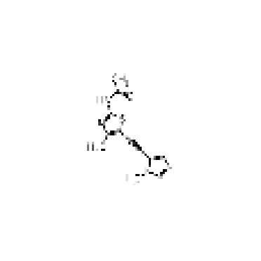 CC(=O)Nc1nc(C)c(C#Cc2cncn2C)s1